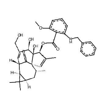 COc1cccc(NCc2ccccc2)c1C(=O)O[C@H]1C(C)=C[C@]23C(=O)[C@@H](C=C(CO)[C@@H](O)[C@]12O)[C@H]1[C@@H](C[C@H]3C)C1(C)C